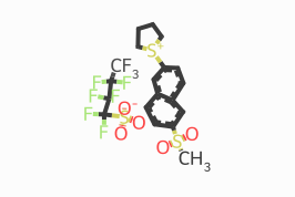 CS(=O)(=O)c1ccc2cc([S+]3CCCC3)ccc2c1.O=S(=O)([O-])C(F)(F)C(F)(F)C(F)(F)C(F)(F)F